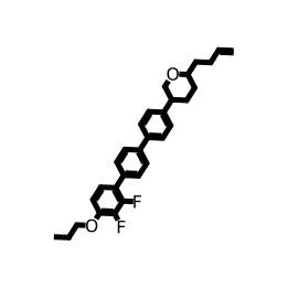 C=CCCC1CCC(c2ccc(-c3ccc(-c4ccc(OCCC)c(F)c4F)cc3)cc2)CO1